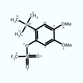 COc1cc(OS(=O)(=O)C(F)(F)F)c([Si](C)(C)C)cc1OC